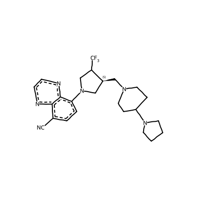 N#Cc1ccc(N2CC(C(F)(F)F)[C@@H](CN3CCC(N4CCCC4)CC3)C2)c2nccnc12